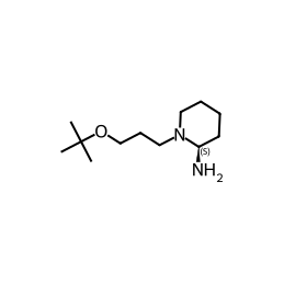 CC(C)(C)OCCCN1CCCC[C@H]1N